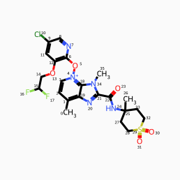 Cc1cc[n+](Oc2ncc(Cl)cc2OCC(F)F)c2c1nc(C(=O)NC1(C)CCS(=O)(=O)CC1)n2C